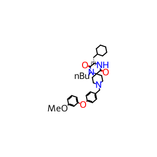 CCCCN1C(=O)[C@H](CC2CCCCC2)NC(=O)C12CCN(Cc1ccc(Oc3cccc(OC)c3)cc1)CC2